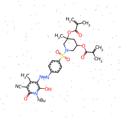 C=C(C)C(=O)OC1CN(S(=O)(=O)c2ccc(/N=N/c3c(C)c(C#N)c(=O)n(CCCC)c3O)cc2)CC(C)(OC(=O)C(=C)C)C1